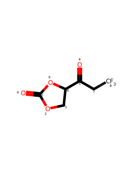 O=C1OCC(C(=O)CC(F)(F)F)O1